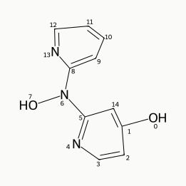 Oc1ccnc(N(O)c2ccccn2)c1